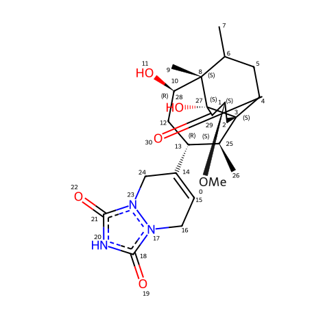 CO[C@H]1C[C@@]23CCC(C)[C@@](C)([C@H](O)C[C@@H](C4=CCn5c(=O)[nH]c(=O)n5C4)[C@@H]2C)[C@]3(O)C1=O